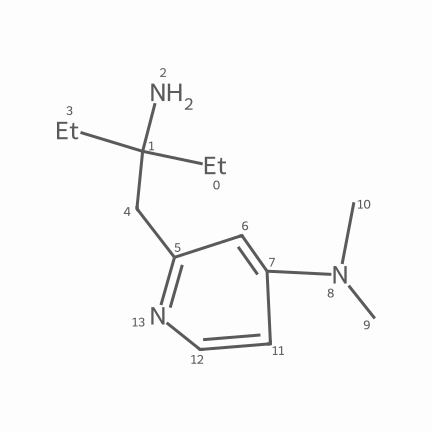 CCC(N)(CC)Cc1cc(N(C)C)ccn1